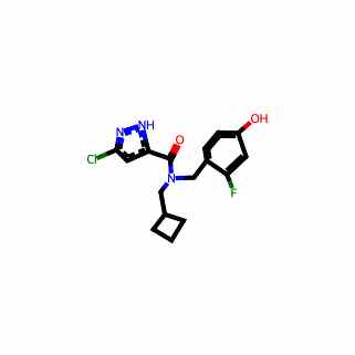 O=C(c1cc(Cl)n[nH]1)N(CC1=C=C=C(O)C=C1F)CC1CCC1